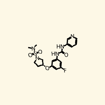 CN(C)S(=O)(=O)N1CC[C@H](Oc2cc(F)cc(NC(=O)Nc3cccnc3)c2)C1